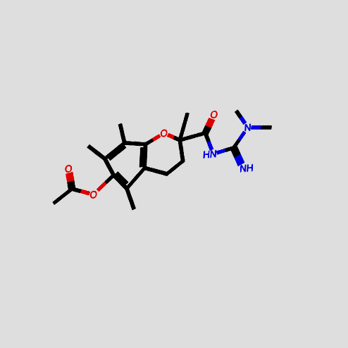 CC(=O)Oc1c(C)c(C)c2c(c1C)CCC(C)(C(=O)NC(=N)N(C)C)O2